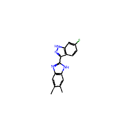 Cc1cc2nc(-c3n[nH]c4cc(F)ccc34)[nH]c2cc1C